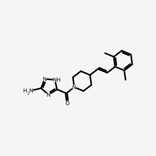 Cc1cccc(C)c1/C=C/C1CCN(C(=O)c2nc(N)n[nH]2)CC1